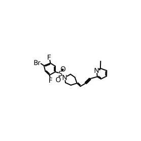 Cc1cccc(C#CC=C2CCN(S(=O)(=O)c3cc(F)c(Br)cc3F)CC2)n1